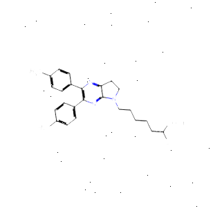 CCC(CCCCCN1CCc2nc(-c3ccc(C)cc3)c(-c3ccc(C)cc3)nc21)C(=O)O